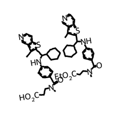 CCOC(=O)CCN(C)C(=O)c1ccc(NC(c2sc3ccncc3c2C)C2CCCCC2)cc1.Cc1c(C(Nc2ccc(C(=O)N(C)CCC(=O)O)cc2)C2CCCCC2)sc2ccncc12